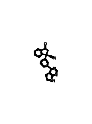 N#CC1(c2cccc(-c3ncnc4[nH]ccc34)c2)CC(=O)c2ccccc21